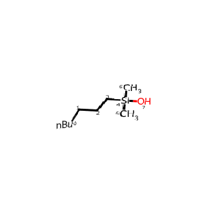 CCCCCCC[Si](C)(C)O